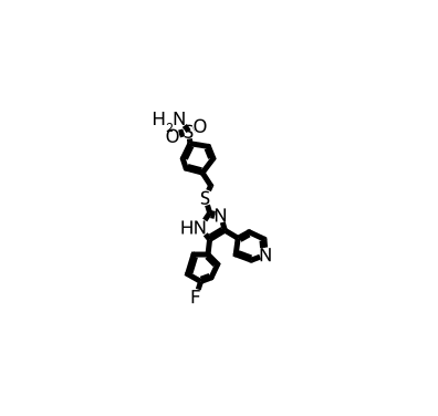 NS(=O)(=O)c1ccc(CSc2nc(-c3ccncc3)c(-c3ccc(F)cc3)[nH]2)cc1